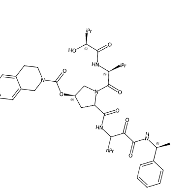 CCCC(NC(=O)C1C[C@@H](OC(=O)N2CCc3ccccc3C2)CN1C(=O)[C@@H](NC(=O)[C@@H](O)C(C)C)C(C)C)C(=O)C(=O)N[C@@H](C)c1ccccc1